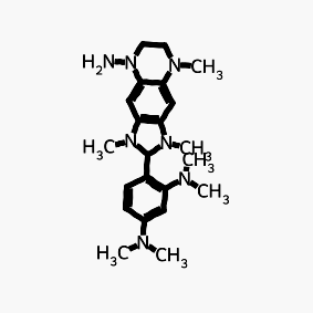 CN(C)c1ccc(C2N(C)c3cc4c(cc3N2C)N(N)CCN4C)c(N(C)C)c1